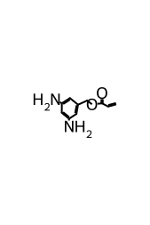 C=CC(=O)OCc1cc(N)cc(N)c1